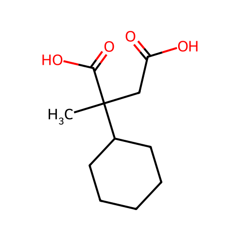 CC(CC(=O)O)(C(=O)O)C1CCCCC1